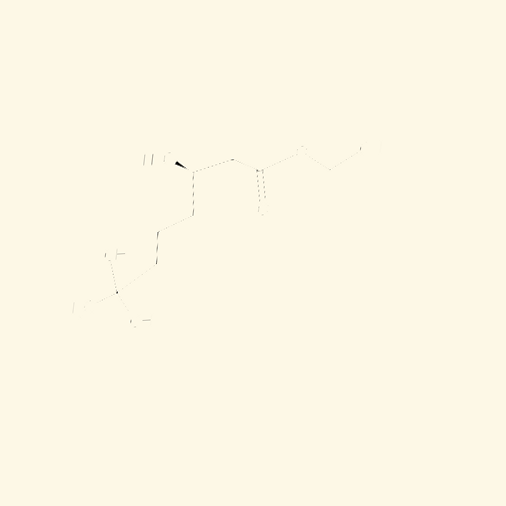 CCOC(=O)C[C@H](C)CCCC(C)(C)C